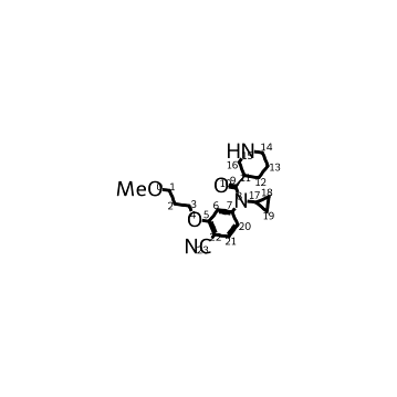 COCCCOc1cc(N(C(=O)[C@@H]2CCCNC2)C2CC2)ccc1C#N